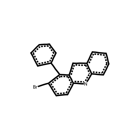 Brc1ccc2nc3ccccc3cc2c1-c1ccccc1